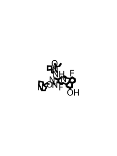 C#Cc1c(F)ccc2cc(O)cc(-c3ncc4c(NCC5(N(C)C(=O)C=C)CCC5)nc(OCC56CCCN5CCC6)nc4c3F)c12